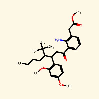 CCCCC(C(CC(=O)c1cccc(CC(=O)OC)c1N)c1ccc(OC)cc1OC)C(C)(C)C